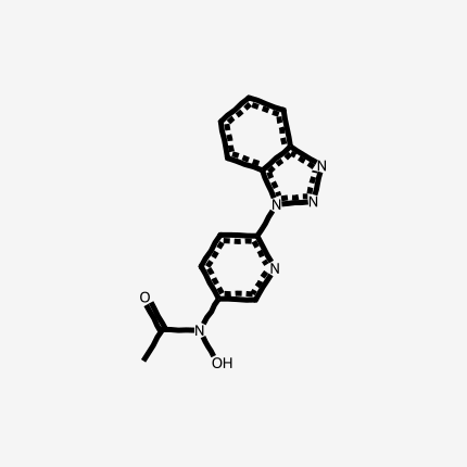 CC(=O)N(O)c1ccc(-n2nnc3ccccc32)nc1